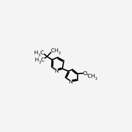 COc1cncc(-c2ccc(C(C)(C)C)cn2)c1